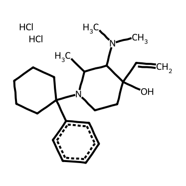 C=CC1(O)CCN(C2(c3ccccc3)CCCCC2)C(C)C1N(C)C.Cl.Cl